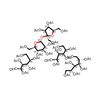 CC(=O)OC[C@@H](OC(C)=O)[C@@H](OC(C)=O)[C@H](OC(C)=O)[C@H](C=O)OC(C)=O.CC(=O)OC[C@@H](OC(C)=O)[C@H](OC(C)=O)[C@H](OC(C)=O)[C@H](C=O)OC(C)=O.CC(=O)OC[C@H](OC(C)=O)[C@@H](OC(C)=O)[C@H](OC(C)=O)[C@@H](COC(C)=O)OC(C)=O.CC(=O)OC[C@H]1O[C@@](COC(C)=O)(O[C@H]2O[C@H](COC(C)=O)[C@@H](OC(C)=O)[C@H](OC(C)=O)[C@H]2OC(C)=O)[C@@H](OC(C)=O)[C@@H]1OC(C)=O